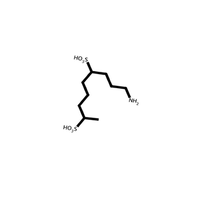 CC(CCCC(CCCN)S(=O)(=O)O)S(=O)(=O)O